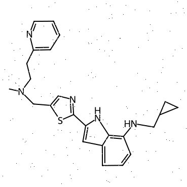 CN(CCc1ccccn1)Cc1cnc(-c2cc3cccc(NCC4CC4)c3[nH]2)s1